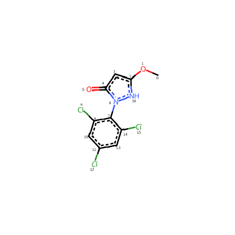 COc1cc(=O)n(-c2c(Cl)cc(Cl)cc2Cl)[nH]1